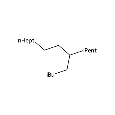 [CH2]CCC(C)C(CCCCCCCCC)CC(C)CC